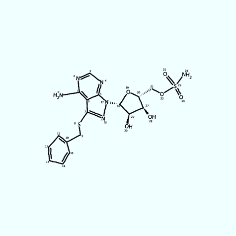 Nc1ncnc2c1c(SCc1ccccc1)nn2[C@@H]1O[C@H](COS(N)(=O)=O)[C@@H](O)[C@H]1O